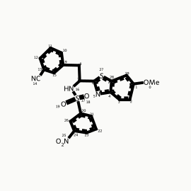 COc1ccc2nc(C(Cc3cccc(C#N)c3)NS(=O)(=O)c3cccc([N+](=O)[O-])c3)sc2c1